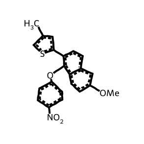 COc1ccc2c(Oc3ccc([N+](=O)[O-])cc3)c(-c3cc(C)cs3)ccc2c1